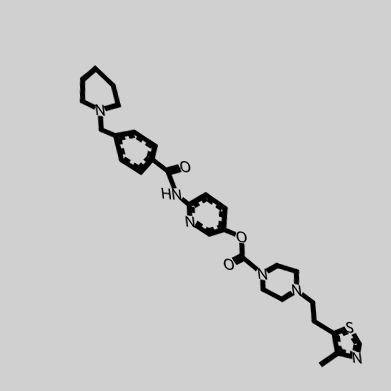 Cc1ncsc1CCN1CCN(C(=O)Oc2ccc(NC(=O)c3ccc(CN4CCCCC4)cc3)nc2)CC1